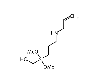 C=CCNCCC[Si](CO)(OC)OC